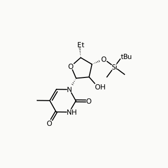 CC[C@H]1O[C@@H](n2cc(C)c(=O)[nH]c2=O)C(O)[C@H]1O[Si](C)(C)C(C)(C)C